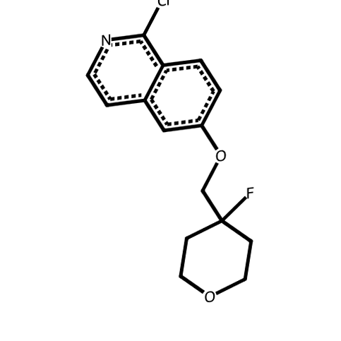 FC1(COc2ccc3c(Cl)nccc3c2)CCOCC1